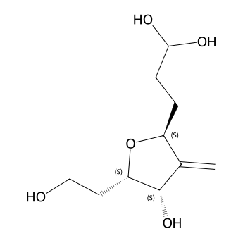 C=C1[C@H](CCC(O)O)O[C@@H](CCO)[C@H]1O